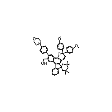 COc1ccc(C2(c3ccc(OC)cc3)C=Cc3c4c(c5cc(CO)c(-c6ccc(N7CCOCC7)cc6)cc5c3O2)-c2ccccc2C42CC(C)(C)CC(C)(C)C2)cc1